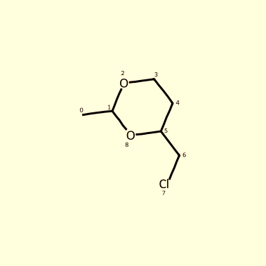 CC1OCCC(CCl)O1